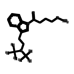 [2H]C([2H])([2H])N(CCc1cn(C(=O)CCCO[N+](=O)[O-])c2ccccc12)C([2H])([2H])[2H]